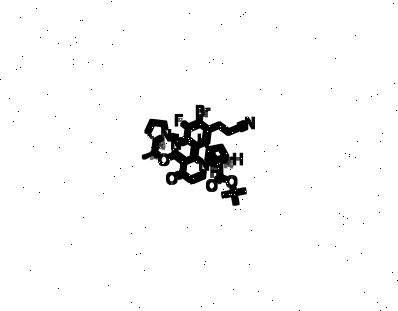 C[C@H](Oc1nc2c(F)c(Br)c(CCC#N)cc2c2c1c(=O)ccn2[C@H]1[C@@H]2C[C@H]1N(C(=O)OC(C)(C)C)C2)[C@@H]1CCCN1C